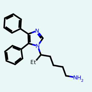 CCC(CCCCN)n1cnc(-c2ccccc2)c1-c1ccccc1